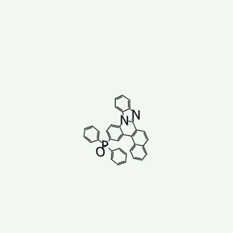 O=P(c1ccccc1)(c1ccccc1)c1ccc2c(c1)c1c3ccccc3ccc1c1nc3ccccc3n21